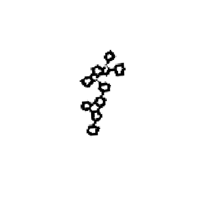 c1ccc(-c2ccc3c4ccc(-c5cccc(-n6c7ccccc7c7ccc8c(cc(-c9ccccc9)n8-c8ccccc8)c76)c5)cc4c4ccccc4c3c2)cc1